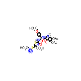 CCn1cc(C(=O)NC(C(=O)N[C@@H]2C(=O)N3C(C(=O)O)=C(CSc4nnnn4CC(=O)O)CS[C@H]23)c2ccc(OCC(=O)O)cc2)c(=O)c2cc(OC(C)=O)c(OC(C)=O)cc21